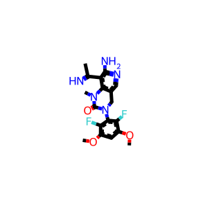 COc1cc(OC)c(F)c(N2Cc3cnc(N)c(C(C)=N)c3N(C)C2=O)c1F